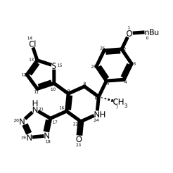 CCCCOc1ccc([C@]2(C)CC(c3ccc(Cl)s3)=C(c3nnn[nH]3)C(=O)N2)cc1